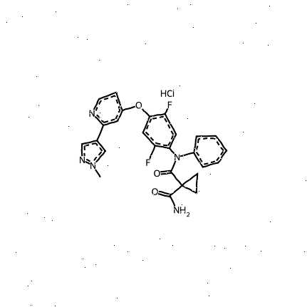 Cl.Cn1cc(-c2cc(Oc3cc(F)c(N(C(=O)C4(C(N)=O)CC4)c4ccccc4)cc3F)ccn2)cn1